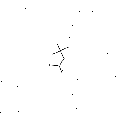 CC(C)(C)C[N+](F)F